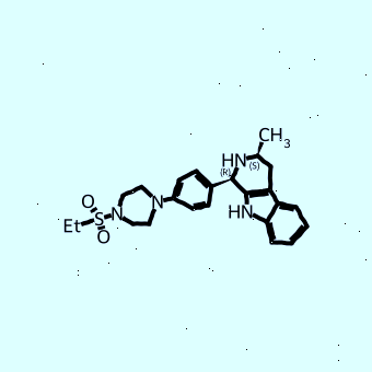 CCS(=O)(=O)N1CCN(c2ccc([C@H]3N[C@@H](C)Cc4c3[nH]c3ccccc43)cc2)CC1